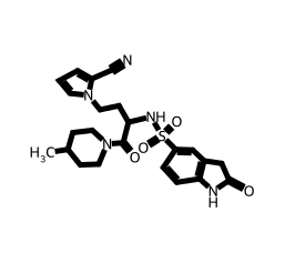 CC1CCN(C(=O)C(CCn2cccc2C#N)NS(=O)(=O)c2ccc3c(c2)CC(=O)N3)CC1